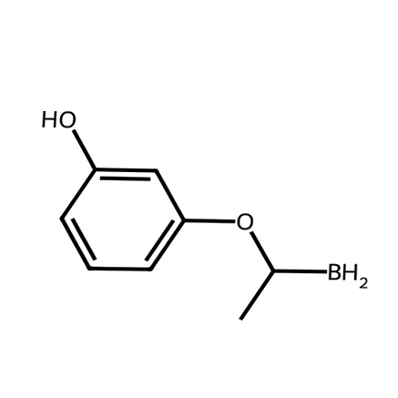 BC(C)Oc1cccc(O)c1